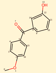 COc1ccc(C(=O)c2cccc(O)c2)cc1